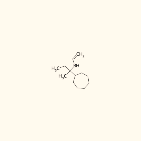 C=CBC(C)(CC)C1CCCCCC1